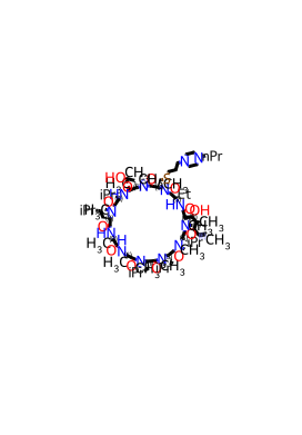 C/C=C/C[C@@H](C)[C@@H](O)[C@H]1C(=O)N[C@@H](CC)C(=O)N(C)[C@H](CSCCCN2CCN(CCC)CC2)C(=O)N(C)[C@@H](CC(C)(C)O)C(=O)N[C@H](C(C)C)C(=O)N(C)[C@H](CCC(C)C)C(=O)N[C@H](C)C(=O)N[C@@H](C)C(=O)N(C)[C@H](CC(C)C)C(=O)N(C)[C@@H](CC(C)C)C(=O)N(C)[C@@H](C(C)C)C(=O)N1C